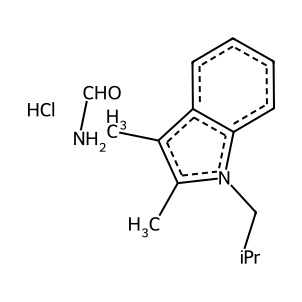 Cc1c(C)n(CC(C)C)c2ccccc12.Cl.NC=O